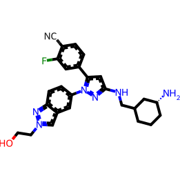 N#Cc1ccc(-c2cc(NCC3CCC[C@@H](N)C3)nn2-c2ccc3nn(CCO)cc3c2)cc1F